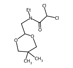 CCN(CC1OCC(C)(C)CO1)C(=O)C(Cl)Cl